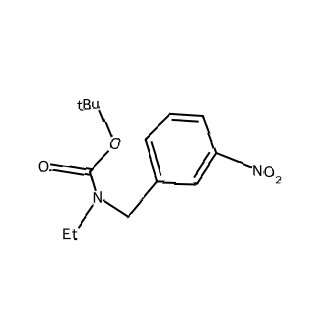 CCN(Cc1cccc([N+](=O)[O-])c1)C(=O)OC(C)(C)C